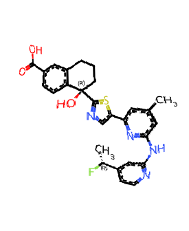 Cc1cc(Nc2cc([C@@H](C)F)ccn2)nc(-c2cnc([C@@]3(O)CCCc4cc(C(=O)O)ccc43)s2)c1